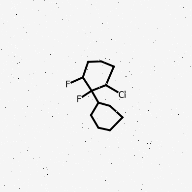 FC1CCC[C](Cl)C1(F)C1CCCCC1